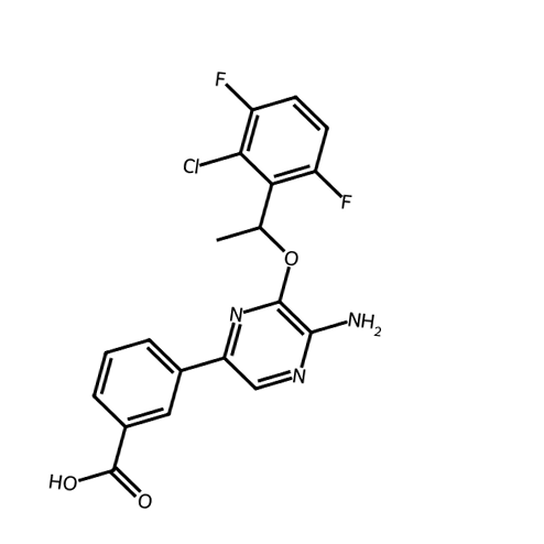 CC(Oc1nc(-c2cccc(C(=O)O)c2)cnc1N)c1c(F)ccc(F)c1Cl